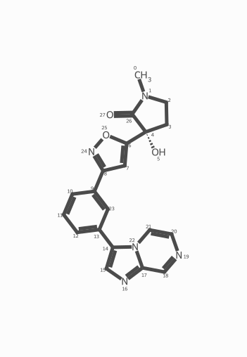 CN1CC[C@@](O)(c2cc(-c3cccc(-c4cnc5cnccn45)c3)no2)C1=O